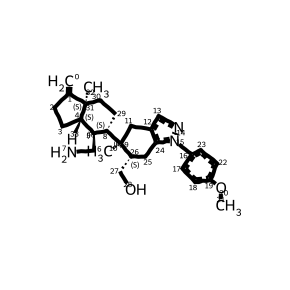 C=C1CC[C@H]2[C@H](CN)[C@@H]([C@@]3(C)Cc4cnn(-c5ccc(OC)cc5)c4C[C@@H]3CO)CC[C@]12C